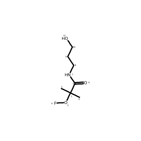 CC(C)(OF)C(=O)NCCCO